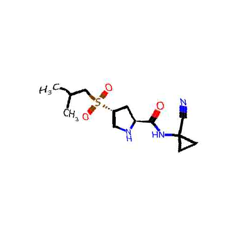 CC(C)CS(=O)(=O)[C@H]1CN[C@H](C(=O)NC2(C#N)CC2)C1